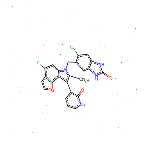 O=C(O)c1c(-c2ccc[nH]c2=O)c2c3occc3c(F)cc2n1Cc1cc2[nH]c(=O)[nH]c2cc1Cl